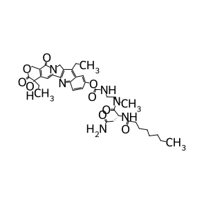 CCCCCCCC(=O)N[C@H](CC(N)=O)C(=O)N(C)CCNC(=O)Oc1ccc2nc3c(c(CC)c2c1)Cn1c-3cc2c(c1=O)COC(=O)[C@]2(O)CC